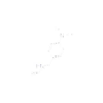 O=CNCc1ccc([N+](=O)[O-])cc1